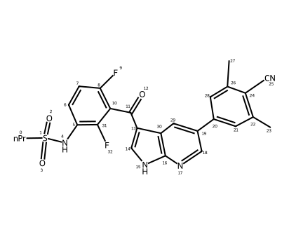 CCCS(=O)(=O)Nc1ccc(F)c(C(=O)c2c[nH]c3ncc(-c4cc(C)c(C#N)c(C)c4)cc23)c1F